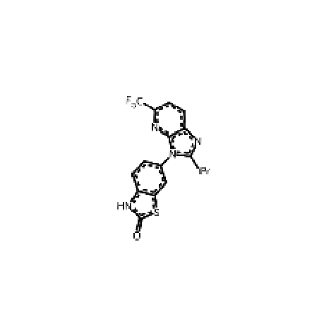 CC(C)c1nc2ccc(C(F)(F)F)nc2n1-c1ccc2[nH]c(=O)sc2c1